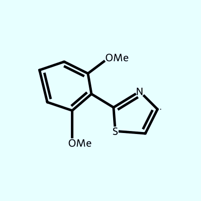 COc1cccc(OC)c1-c1n[c]cs1